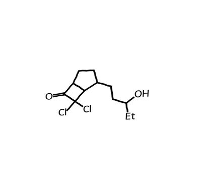 CCC(O)CCC1CCC2C(=O)C(Cl)(Cl)C12